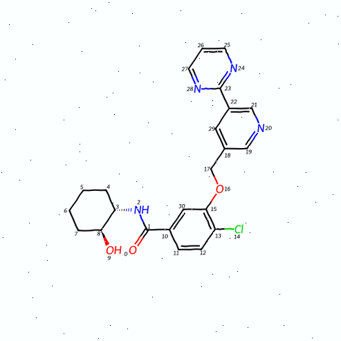 O=C(N[C@H]1CCCC[C@@H]1O)c1ccc(Cl)c(OCc2cncc(-c3ncccn3)c2)c1